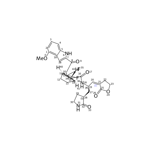 COc1cccc2[nH]c(C(=O)N3[C@@H]4CC[C@H]([C@H]3C(=O)N[C@@H](/C=C3/CCOC3=O)C[C@@H]3CCNC3=O)C(F)(F)C4)cc12